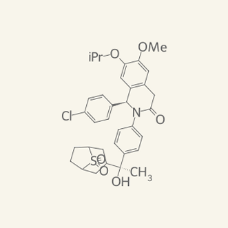 COc1cc2c(cc1OC(C)C)[C@H](c1ccc(Cl)cc1)N(c1ccc([C@@](C)(O)C3CC4CCC(C3)S4(=O)=O)cc1)C(=O)C2